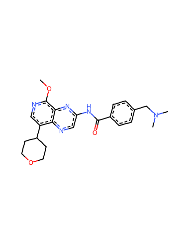 COc1ncc(C2CCOCC2)c2ncc(NC(=O)c3ccc(CN(C)C)cc3)nc12